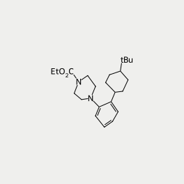 CCOC(=O)N1CCN(c2ccccc2C2CCC(C(C)(C)C)CC2)CC1